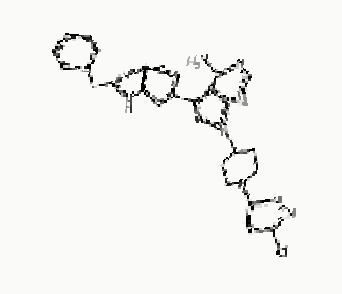 Nc1ncnc2c1c(-c1ccc3nc(Cc4ccccc4)[nH]c3c1)nn2C1CCN(c2ccc(Cl)nn2)CC1